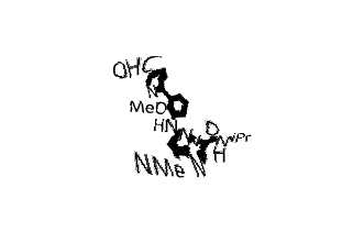 CNc1cc(Nc2cccc(-c3ccc(C=O)cn3)c2OC)nn2c(C(=O)NC(C)C)cnc12